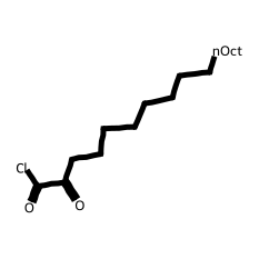 CCCCCCCCCCCCCCCCC(=O)C(=O)Cl